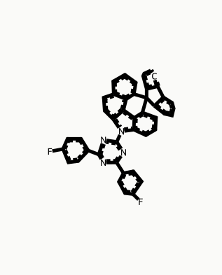 Fc1ccc(-c2nc(-c3ccc(F)cc3)nc(-n3c4cccc5c4c4c6c(cccc6ccc43)C53c4ccccc4-c4ccccc43)n2)cc1